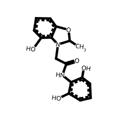 CC1Oc2cccc(O)c2N1CC(=O)Nc1c(O)cccc1O